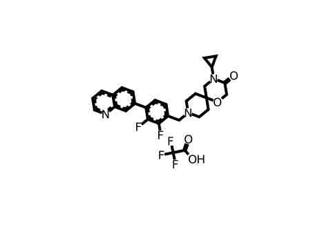 O=C(O)C(F)(F)F.O=C1COC2(CCN(Cc3ccc(-c4ccc5cccnc5c4)c(F)c3F)CC2)CN1C1CC1